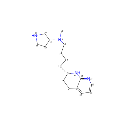 CN(CCCC[C@H]1CCc2cccnc2N1)[C@@H]1CCNC1